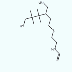 C=CNCCSCCC(CC(C)(C)C)C(C)(C)C(C)(C)CC(C)C